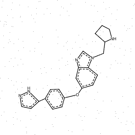 c1cc(-c2ccc(Oc3ccc4c(c3)ncn4CC3CCCN3)cc2)[nH]n1